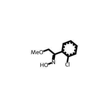 COCC(=NO)c1ccccc1Cl